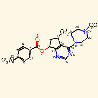 C[C@@H]1C[C@H](OC(=O)c2ccc([N+](=O)[O-])cc2)c2ncnc(N3CCN(C(=O)O)CC3)c21